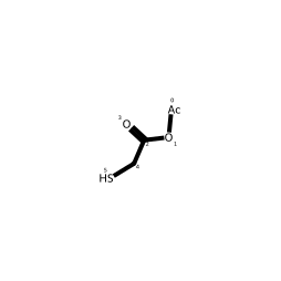 CC(=O)OC(=O)CS